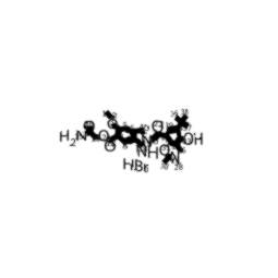 Br.CCOc1cc2c(cc1C(=O)OCC(N)=O)C(=N)N(CC(=O)c1cc(CN(C)C(C)=O)c(O)c(C(C)(C)C)c1)C2